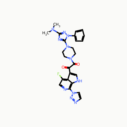 CN(C)c1nc(N2CCN(C(=O)C(=O)c3c[nH]c4c(-n5ccnn5)ncc(F)c34)CC2)n(-c2ccccc2)n1